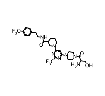 NC(CO)C(=O)N1CCN(c2cc(N3CCCC(C(=O)NCCc4ccc(C(F)(F)F)cc4)C3)nc(C(F)(F)F)n2)CC1